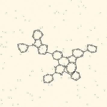 c1ccc(-c2ccc3c(c2)c2ccccc2n3-c2ccc(-c3ccc4c(c3)c3ccccc3n4-c3ccccc3)cc2-c2nc(-c3ccccc3)nc(-c3ccccc3)n2)cc1